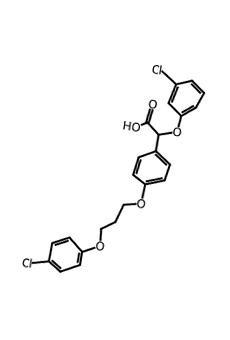 O=C(O)C(Oc1cccc(Cl)c1)c1ccc(OCCCOc2ccc(Cl)cc2)cc1